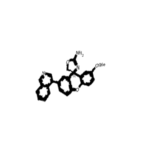 COc1ccc2c(c1)[C@]1(COC(N)=N1)c1cc(-c3cncc4ccccc34)ccc1O2